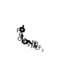 Cc1ccc(OCC(=O)N2CCc3sc(-c4noc(C(F)(F)F)n4)cc3C2)c(F)c1